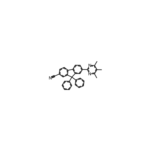 Cc1nc(-c2ccc3c(c2)C(c2ccccc2)(c2ccccc2)c2cc(C#N)ccc2-3)nc(C)c1C